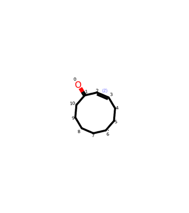 O=C1/C=C\CC[CH]CCCC1